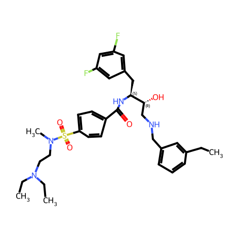 CCc1cccc(CNC[C@@H](O)[C@H](Cc2cc(F)cc(F)c2)NC(=O)c2ccc(S(=O)(=O)N(C)CCN(CC)CC)cc2)c1